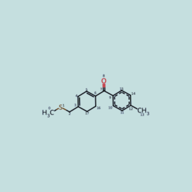 CSCC1=CC=C(C(=O)c2ccc(C)cc2)CC1